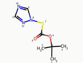 CC(C)(C)OC(=O)Sn1cncn1